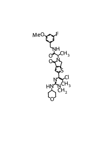 C=N/C(=N\C(=C(/C)Cl)c1cc2c(s1)CN([C@H](C)C(=O)NCc1cc(F)cc(OC)c1)C2=O)NC1CCOCC1